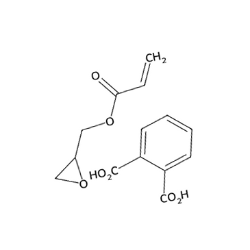 C=CC(=O)OCC1CO1.O=C(O)c1ccccc1C(=O)O